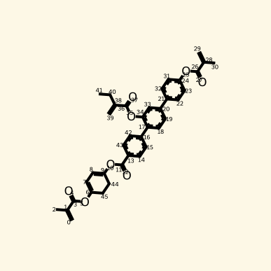 C=C(C)C(=O)OC1=CC=C(OC(=O)c2ccc(-c3ccc(-c4ccc(OC(=O)C(=C)C)cc4)cc3OC(=O)C(=C)CC)cc2)CC1